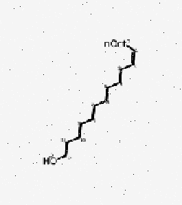 CCCCCCCC/C=C\CCCCCCCC[CH]CO